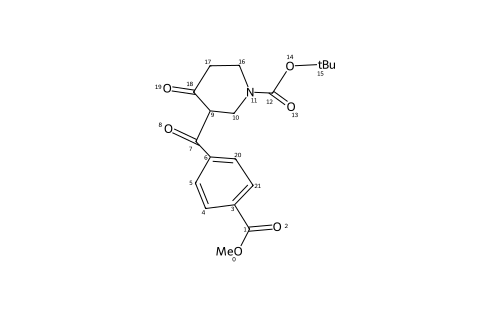 COC(=O)c1ccc(C(=O)C2CN(C(=O)OC(C)(C)C)CCC2=O)cc1